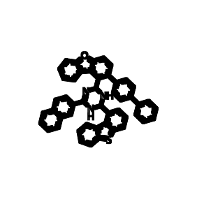 c1ccc(-c2ccc(-c3ccc4oc5ccccc5c4c3C3N=C(c4ccc5ccccc5c4)NC(c4cccc5sc6ccccc6c45)N3)cc2)cc1